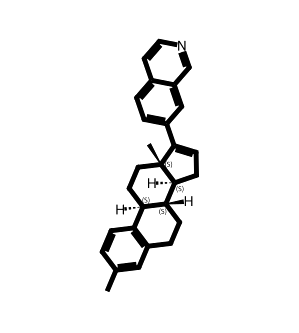 Cc1ccc2c(c1)CC[C@@H]1[C@@H]2CC[C@]2(C)C(c3ccc4ccncc4c3)=CC[C@@H]12